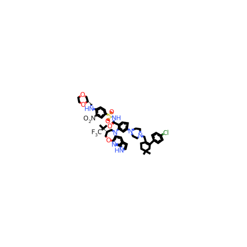 CC1(C)CCC(CN2CCN(c3ccc(C(=O)NS(=O)(=O)c4ccc(NC[C@H]5COCCO5)c([N+](=O)[O-])c4)c(N4C[C@@H](C(C)(C)C(F)(F)F)COc5nc6[nH]ccc6cc54)c3)CC2)=C(c2ccc(Cl)cc2)C1